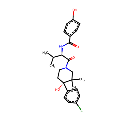 CC(C)[C@@H](NC(=O)c1ccc(O)cc1)C(=O)N1CC[C@](O)(c2ccc(Cl)cc2)C(C)(C)C1